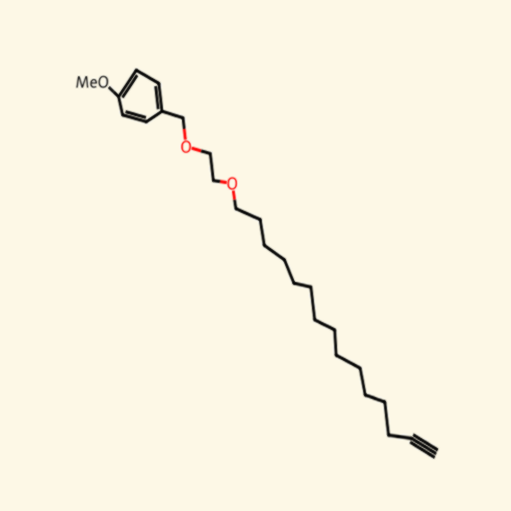 C#CCCCCCCCCCCCCCOCCOCc1ccc(OC)cc1